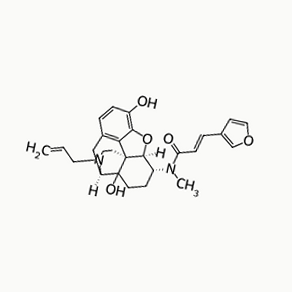 C=CCN1CC[C@]23c4c5ccc(O)c4O[C@H]2[C@H](N(C)C(=O)/C=C/c2ccoc2)CCC3(O)[C@H]1C5